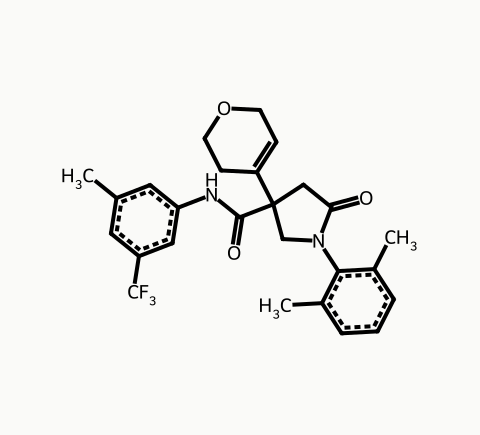 Cc1cc(NC(=O)C2(C3=CCOCC3)CC(=O)N(c3c(C)cccc3C)C2)cc(C(F)(F)F)c1